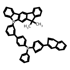 CC1(C)c2ccccc2-c2cc3c4ccccc4n(-c4cccc(-c5ccc(N(c6ccccc6)c6ccc(-c7ccc8ccccc8c7)cc6)cc5)c4)c3cc21